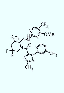 COc1nc(NCC2[C@H](C)CC(F)(F)CN2C(=O)c2nc(C)sc2-c2cccc(C)c2)ncc1C(F)(F)F